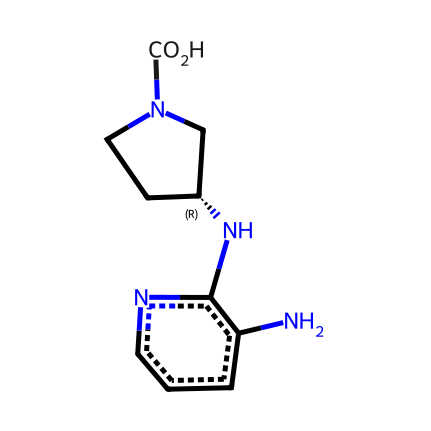 Nc1cccnc1N[C@@H]1CCN(C(=O)O)C1